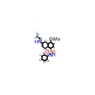 COc1ccc(S(=O)(=O)Nc2ccccc2)c2c1C[C@@H](NCCF)CC2